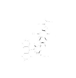 CC(C(=O)NC(F)C(F)F)c1cc(F)c(NC(=O)[C@@H](NC(=O)OC(C)(C)C)C(C2CCCCC2)C2CCCCC2)cc1CO